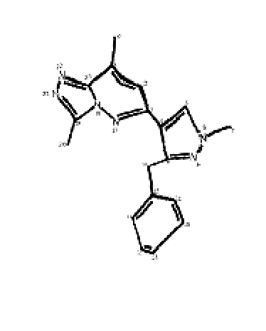 Cc1cc(-c2cn(C)nc2Cc2ccccc2)nn2c(C)nnc12